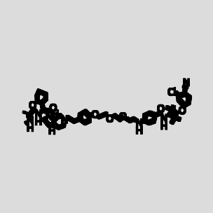 CN[C@@H](C)C(=O)N[C@H](C(=O)N1CC[C@@H]2CCN(CCc3ccc(OCCOCCOCCNc4ccc(C(=O)N[C@H]5C(C)(C)[C@H](Oc6ccc(C#N)c(Cl)c6)C5(C)C)cc4)cc3)C[C@@H]21)C1CCCCC1